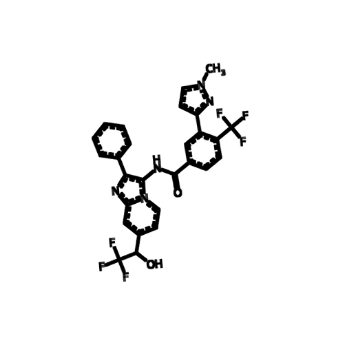 Cn1ccc(-c2cc(C(=O)Nc3c(-c4ccccc4)nc4cc(C(O)C(F)(F)F)ccn34)ccc2C(F)(F)F)n1